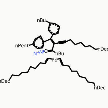 CCCCCCCCCCCCCCCCC#CC(C(=C=[N+]=[N-])CCCC)=C(c1ccc(CCCCC)cc1)c1cccc(CCCC)c1.CCCCCCCCCCCCCCCCCC=[CH][Pd][CH]=CCCCCCCCCCCCCCCCCC